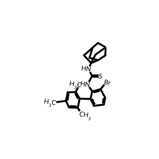 Cc1cc(C)c(-c2cccc(Br)c2NC(=S)NC23CC4CC(CC2C4)C3)c(C)c1